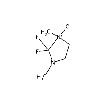 CN1CC[N+](C)([O-])C1(F)F